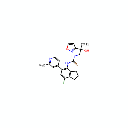 CCOC(=O)C(O)(CNC(=S)Nc1c(-c2ccnc(OC)c2)cc(F)c2c1CCC2)c1ccon1